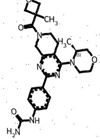 C[C@H]1COCCN1c1nc(-c2ccc(NC(N)=O)cc2)nc2c1CCN(C(=O)C1(C)COC1)C2